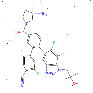 CC(C)(O)Cn1nnc2cc(-c3ccc(C(=O)N4CCC(C)(N)C4)cc3-c3ccc(C#N)c(F)c3)c(F)c(F)c21